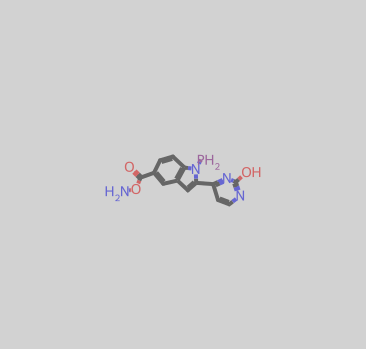 NOC(=O)c1ccc2c(c1)cc(-c1ccnc(O)n1)n2P